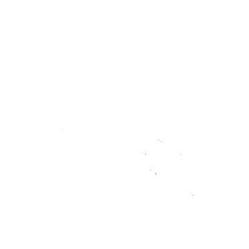 Cc1ccc(-n2nc(C#N)n[n+]2-c2ccc(C)cc2)cc1.[Cl-]